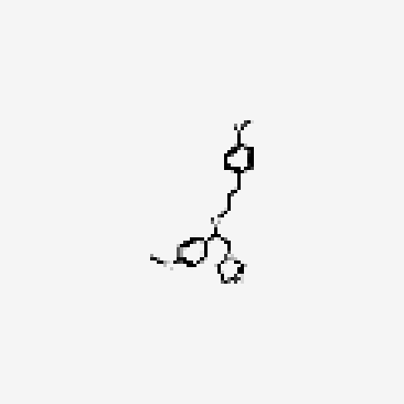 COc1ccc(CCCOC(CN2C=NCC2)c2ccc(OC)cc2)cc1